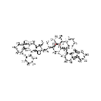 C1=C=C(c2ccccc2N(C2=CC=C(C3C=c4oc5c(-c6ccccc6)c6c(cc5c4=CC3)oc3ccccc36)CC2)c2cccc3c2sc2ccccc23)C=CC=1